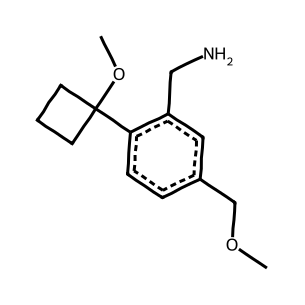 COCc1ccc(C2(OC)CCC2)c(CN)c1